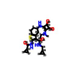 CCN(C)c1c(NC2CCc3sc(NC(=O)C4CC4)c(C(=O)NCC4CC4)c3C2)c(=O)c1=O